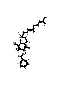 CC(C)=CCC/C(C)=C/CC[C@]1(C)CCc2c(C)c(OCc3ccccc3)c(C)c(C)c2O1